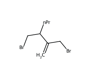 C=C(CBr)C(CBr)CCC